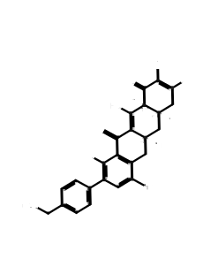 C=C1C2=C(O)[C@@]3(O)C(=O)C(C(C)=O)=C(O)C[C@H]3C[C@H]2Cc2c(C(C)C)cc(-c3ccc(CC(C)(C)C)cc3)c(O)c21